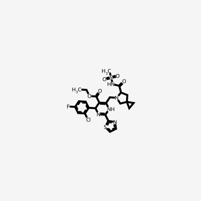 CCOC(=O)C1=C(CN2CC3(CC3)CC2C(=O)NS(C)(=O)=O)NC(c2nccs2)=NC1c1ccc(F)cc1Cl